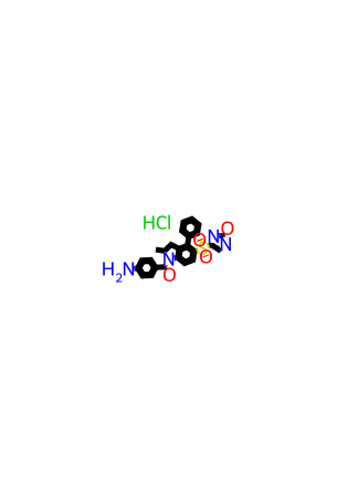 CC1Cc2c(ccc(S(=O)(=O)C3=NC(=O)N=C3)c2-c2ccccc2)N1C(=O)c1ccc(N)cc1.Cl